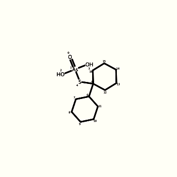 O=[As](O)(O)SC1(C2CCCCC2)CCCCC1